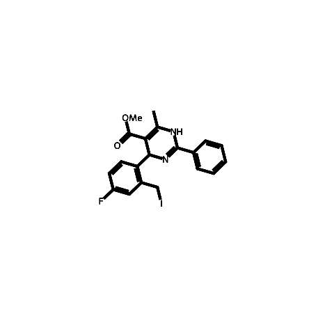 COC(=O)C1=C(C)NC(c2ccccc2)=NC1c1ccc(F)cc1CI